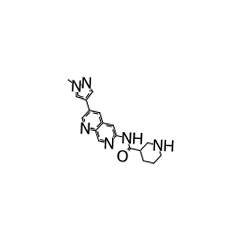 Cn1cc(-c2cnc3cnc(NC(=O)C4CCCNC4)cc3c2)cn1